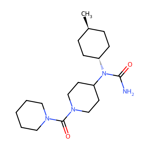 C[C@H]1CC[C@H](N(C(N)=O)C2CCN(C(=O)N3CCCCC3)CC2)CC1